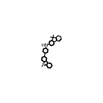 Cn1c2ccccc2c2cc(-c3ccc(Nc4ccc5c(c4)C(C)(C)C4=C5C=CCC4)cc3)ccc21